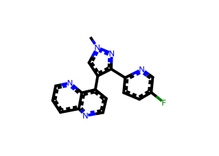 Cn1cc(-c2ccnc3cccnc23)c(-c2ccc(F)cn2)n1